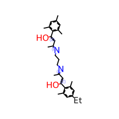 CCc1cc(C)c(/C(O)=C/C(C)=N/CCC/N=C(C)/C=C(\O)c2c(C)cc(C)cc2C)c(C)c1